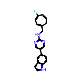 FC1=CC=C(CNc2ncc(-c3ccc4[nH]ccc4c3)cn2)CC=C1